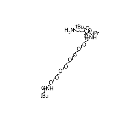 CC(C)[C@H](NC(=O)CCOCCOCCOCCOCCOCCOCCOCCOCCNC(=O)CCC(C)(C)C)C(=O)N[C@@H](CCCCN)C(=O)C(C)(C)C